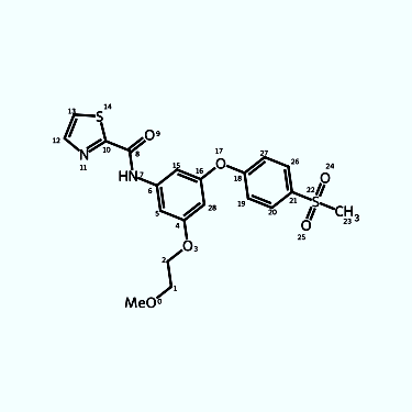 COCCOc1cc(NC(=O)c2nccs2)cc(Oc2ccc(S(C)(=O)=O)cc2)c1